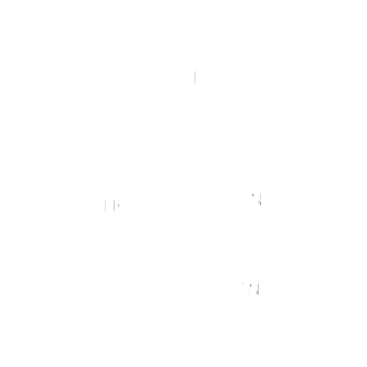 Cl.N#Cc1ccc(CCl)cn1